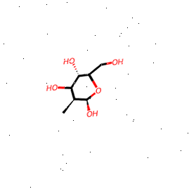 C[C@H]1C(O)[C@H](O)C(CO)O[C@H]1O